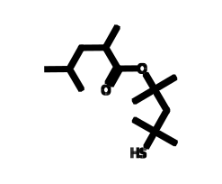 CC(C)CC(C)C(=O)OC(C)(C)CC(C)(C)S